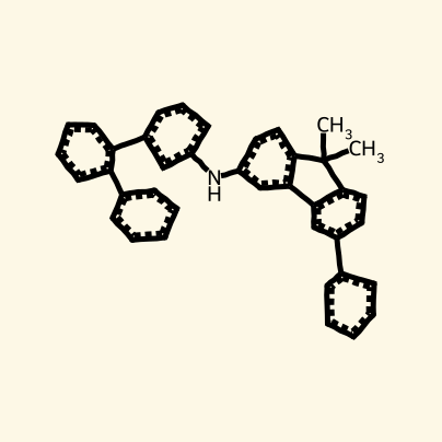 CC1(C)c2ccc(Nc3cccc(-c4ccccc4-c4ccccc4)c3)cc2-c2cc(-c3ccccc3)ccc21